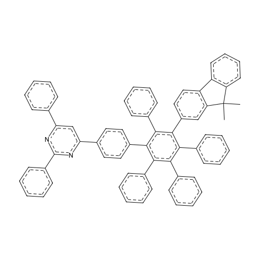 CC1(C)c2ccccc2-c2ccc(-c3c(-c4ccccc4)c(-c4ccccc4)c(-c4ccccc4)c(-c4ccc(-c5cc(-c6ccccc6)nc(-c6ccccc6)n5)cc4)c3-c3ccccc3)cc21